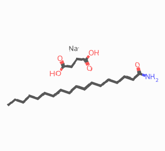 CCCCCCCCCCCCCCCCCC(N)=O.O=C(O)CCC(=O)O.[Na]